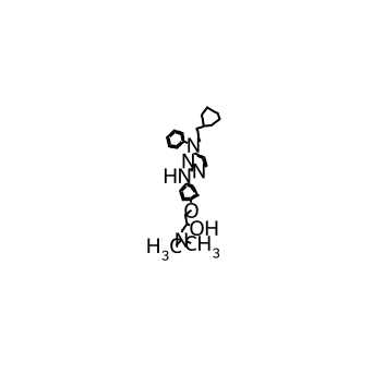 CN(C)CC(O)COc1ccc(Nc2nccc(N(CCC3CCCCC3)c3ccccc3)n2)cc1